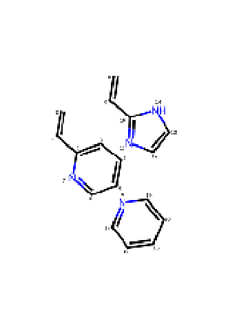 C=Cc1ccccn1.C=Cc1ncc[nH]1.c1ccncc1